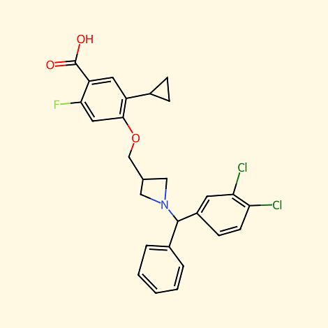 O=C(O)c1cc(C2CC2)c(OCC2CN(C(c3ccccc3)c3ccc(Cl)c(Cl)c3)C2)cc1F